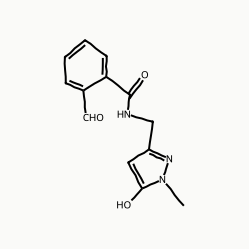 Cn1nc(CNC(=O)c2ccccc2C=O)cc1O